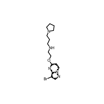 Brc1cnn2ccc(OCCNCCCN3CCCC3)nc12